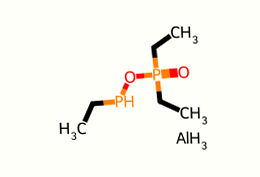 CCPOP(=O)(CC)CC.[AlH3]